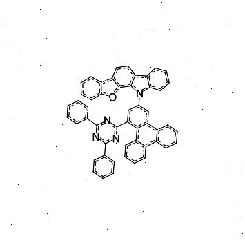 c1ccc(-c2nc(-c3ccccc3)nc(-c3cc(-n4c5ccccc5c5ccc6c7ccccc7oc6c54)cc4c5ccccc5c5ccccc5c34)n2)cc1